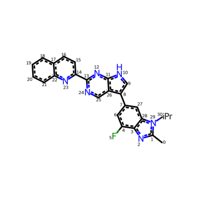 Cc1nc2c(F)cc(-c3c[nH]c4nc(-c5ccc6ccccc6n5)ncc34)cc2n1C(C)C